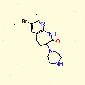 O=C1Nc2ncc(Br)cc2CCC1N1CCNCC1